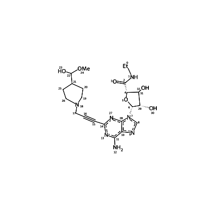 CCNC(=O)[C@H]1O[C@@H](n2cnc3c(N)nc(C#CCN4CCC(C(O)OC)CC4)nc32)[C@@H](O)C1O